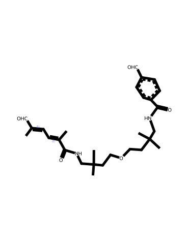 C/C(C=O)=C\C=C(/C)C(=O)NCC(C)(C)CCOCCC(C)(C)CNC(=O)c1ccc(C=O)cc1